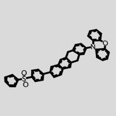 O=S(=O)(c1ccccc1)c1ccc(-c2ccc3cc4c(cc3c2)Cc2ccc(N3c5ccccc5Oc5ccccc53)cc2C4)cc1